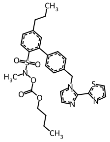 CCCCOC(=O)ON(C)S(=O)(=O)c1ccc(CCC)cc1-c1ccc(Cn2ccnc2-c2nccs2)cc1